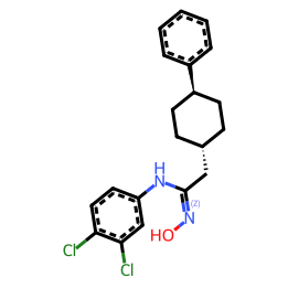 O/N=C(/C[C@H]1CC[C@H](c2ccccc2)CC1)Nc1ccc(Cl)c(Cl)c1